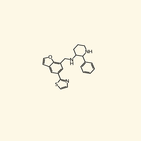 c1ccc(C2NCCCC2NCc2cc(-c3nccs3)cc3ccoc23)cc1